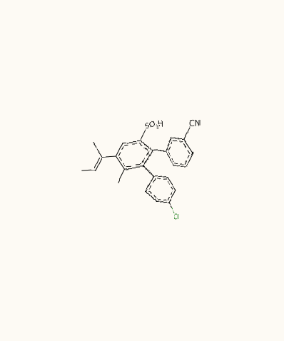 CC=C(C)c1cc(S(=O)(=O)O)c(-c2cccc(C#N)c2)c(-c2ccc(Cl)cc2)c1C